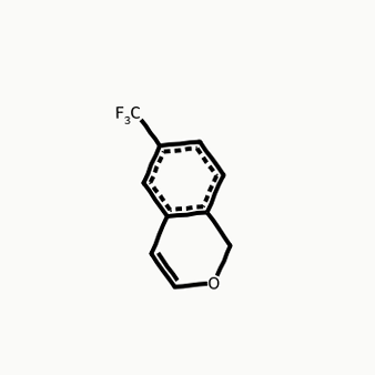 FC(F)(F)c1ccc2c(c1)C=COC2